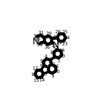 c1cc(-c2ccc3c4c(cccc24)-c2ccccc2-3)cc(-n2c3ccccc3c3cc4ccncc4cc32)c1